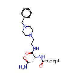 CCCCCCCC(=O)N[C@H](CC(N)=O)C(=O)NCCN1CCN(Cc2ccccc2)CC1